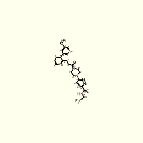 CCOc1cncc(-c2ccccc2CCC(=O)N2CCN(c3ccc(C(=O)NCC(F)(F)F)nn3)CC2)c1